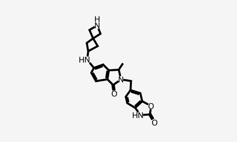 CC1c2cc(NC3CC4(CNC4)C3)ccc2C(=O)N1Cc1ccc2[nH]c(=O)oc2c1